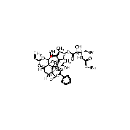 C=CC1O[C@H]2C[C@H]3OC[C@@]3(OC(C)=O)[C@H]3[C@H](OC(=O)c4ccccc4)[C@]4(C(C)(C)O)C[C@H](OC(=O)[C@H](O)[C@H](CC(C)C)NC(=O)OC(C)(C)C)C(C)=C4[C@H](O)[C@H](O1)[C@]23C